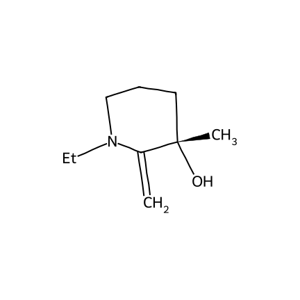 C=C1N(CC)CCC[C@]1(C)O